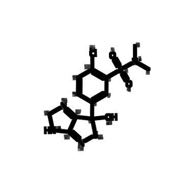 CN(C)S(=O)(=O)c1cc(C2(O)SN=C3NCN=C32)ccc1Cl